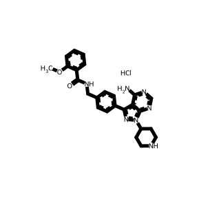 COc1ccccc1C(=O)NCc1ccc(-c2nn(C3CCNCC3)c3ncnc(N)c23)cc1.Cl